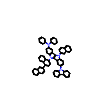 c1ccc(N(c2ccccc2)c2ccc3c(c2)c2c(c4cc(-n5c6ccccc6c6ccccc65)ccc4n2-c2ccc4ccccc4c2)n3-c2ccc(-c3ccc4ccccc4c3)c3ccccc23)cc1